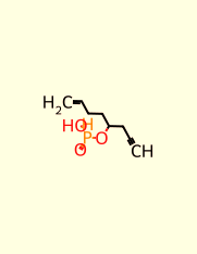 C#CCC(CCC=C)O[PH](=O)O